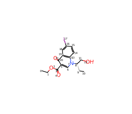 CCOC(=O)c1cn([C@@H](CC)CO)c2ccc(I)cc2c1=O